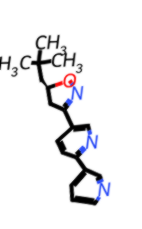 CC(C)(C)C[C@@H]1CC(c2ccc(-c3cccnc3)nc2)=NO1